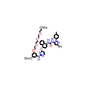 COCCOCCOCCOCCOc1cc(Nc2nccc(Oc3ccc(NC(=O)Nc4cc(C(C)C)nn4-c4ccc(C)cc4)c4ccccc34)n2)cc(OC)c1